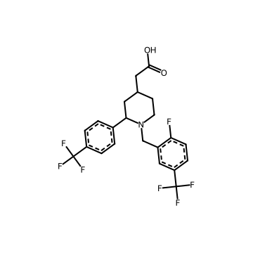 O=C(O)CC1CCN(Cc2cc(C(F)(F)F)ccc2F)C(c2ccc(C(F)(F)F)cc2)C1